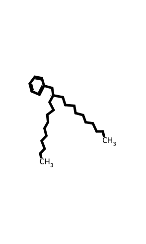 CCCCCCCCCC[C](CCCCCCCCCC)Cc1ccccc1